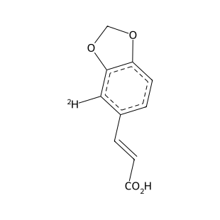 [2H]c1c(C=CC(=O)O)ccc2c1OCO2